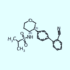 CC(C)S(=O)(=O)N[C@@H]1CCOC[C@H]1c1ccc(-c2ccccc2C#N)cc1